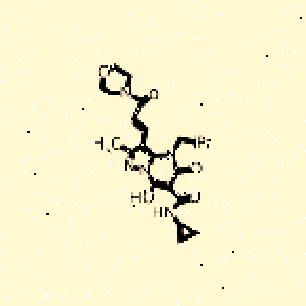 Cc1nn2c(O)c(C(=O)NC3CC3)c(=O)n(CC(C)C)c2c1/C=C/C(=O)N1CCOCC1